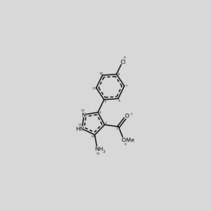 COC(=O)c1c(-c2ccc(Cl)cc2)n[nH]c1N